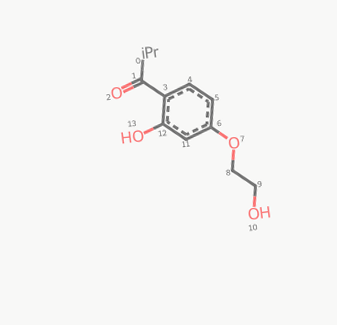 CC(C)C(=O)c1ccc(OCCO)cc1O